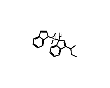 [Li][C]1([Si](C)(C)C2C=Cc3ccccc32)C=C(C(C)CC)c2ccccc21